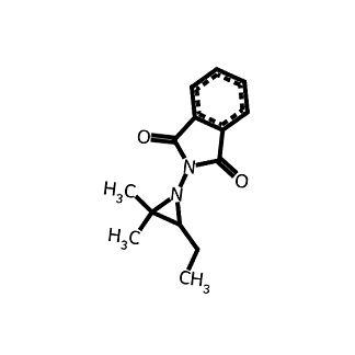 CCC1N(N2C(=O)c3ccccc3C2=O)C1(C)C